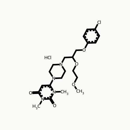 COCCOC(COc1ccc(Cl)cc1)CN1CCN(c2cc(=O)n(C)c(=O)n2C)CC1.Cl